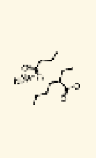 CCCC(=O)[O-].CCCCC(CC)C(=O)[O-].[Na+].[Na+]